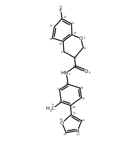 Cc1cc(NC(=O)C2COc3cc(F)ccc3C2)ccc1-c1cnco1